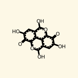 O=c1c(O)cc2c(O)oc3c(=O)c(O)cc4c(O)oc1c2c43